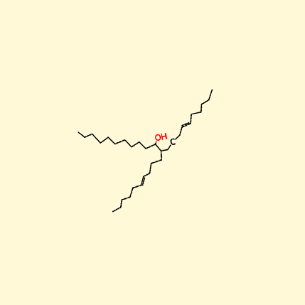 CCCCCC=CCCCC(CCCC=CCCCCC)C(O)CCCCCCCCCC